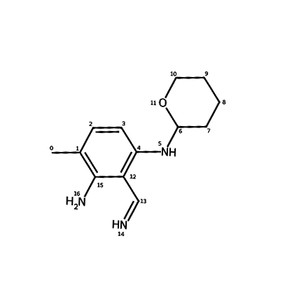 Cc1ccc(NC2CCCCO2)c(C=N)c1N